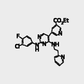 CCOC(=O)c1cncc(-c2cnc(Nc3ccc(F)c(Cl)c3)nc2NCCc2ccccn2)c1